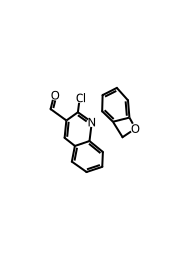 O=Cc1cc2ccccc2nc1Cl.c1ccc2c(c1)CO2